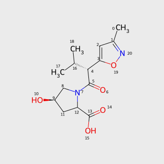 Cc1cc([C@H](C(=O)N2C[C@H](O)CC2C(=O)O)C(C)C)on1